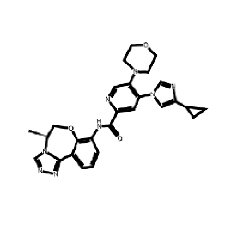 C[C@H]1COc2c(NC(=O)c3cc(-n4cnc(C5CC5)c4)c(N4CCOCC4)cn3)cccc2-c2nncn21